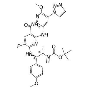 COc1ccc([C@@H](Nc2nc(Nc3cnc(OC)c(-n4ccnn4)c3)c(C(N)=O)cc2F)[C@H](C)NC(=O)OC(C)(C)C)cc1